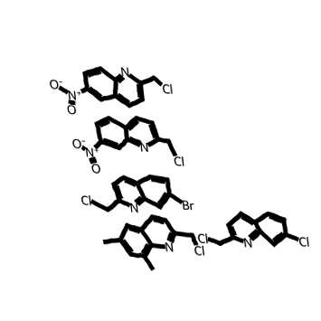 Cc1cc(C)c2nc(CCl)ccc2c1.ClCc1ccc2ccc(Br)cc2n1.ClCc1ccc2ccc(Cl)cc2n1.O=[N+]([O-])c1ccc2ccc(CCl)nc2c1.O=[N+]([O-])c1ccc2nc(CCl)ccc2c1